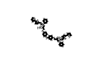 OC(CSc1ccc(Sc2ccc(SCC(O)CN(/N=C/c3ccc(-c4cccs4)s3)c3ccccc3)cc2)cc1)CN(/N=C/c1ccc(-c2cccs2)s1)c1ccccc1